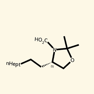 CCCCCCCCC[C@H]1COC(C)(C)N1C(=O)O